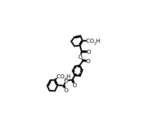 O=C(O)C1=C(C(=O)OC(=O)c2ccc(C(=O)OC(=O)C3=C(C(=O)O)C=CCC3)cc2)CCC=C1